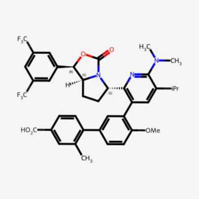 COc1ccc(-c2ccc(C(=O)O)cc2C)cc1-c1cc(C(C)C)c(N(C)C)nc1[C@@H]1CC[C@H]2[C@@H](c3cc(C(F)(F)F)cc(C(F)(F)F)c3)OC(=O)N12